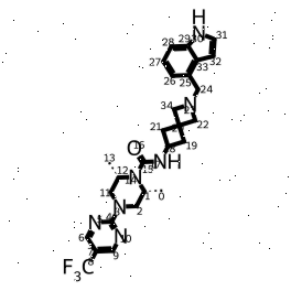 C[C@@H]1CN(c2ncc(C(F)(F)F)cn2)C[C@H](C)N1C(=O)NC1CC2(C1)CN(Cc1cccc3[nH]ccc13)C2